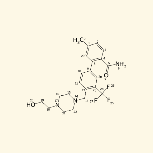 Cc1ccc(C(N)=O)c(-c2ccc(CN3CCN(CCO)CC3)c(C(F)(F)F)c2)c1